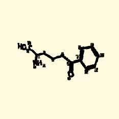 NC(CCCC(=O)c1ccccc1)C(=O)O